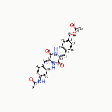 CC(=O)Nc1ccc(/C=c2\[nH]c(=O)/c(=C/c3ccc(COC(C)=O)cc3)[nH]c2=O)cc1